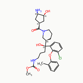 COC(=O)NCCC[C@@](O)(c1cccc(Cl)c1Oc1ccccc1C)[C@@H]1CCCN(C(=O)[C@H]2C[C@@H](N)[C@@H](O)C2)C1